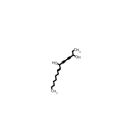 CCCCCCCC=CC(O)C#CC#CC(O)CC